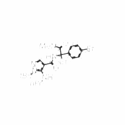 CCCNc1c(C(=O)NC(CC)(C(=O)NC)c2ccc(CC)cc2)cnn1C(C)(C)C